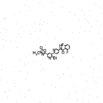 CCc1ncc(-c2nn(C)c(=O)o2)cc1-c1ccc(NC(=O)c2c(F)cccc2F)cn1